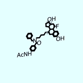 CC(=O)Nc1ccc(C(=O)N(CCCCC[C@@H]2Cc3cc(O)ccc3C3C2C2CC[C@H](O)[C@@]2(C)C[C@@H]3F)Cc2ccccc2)cc1